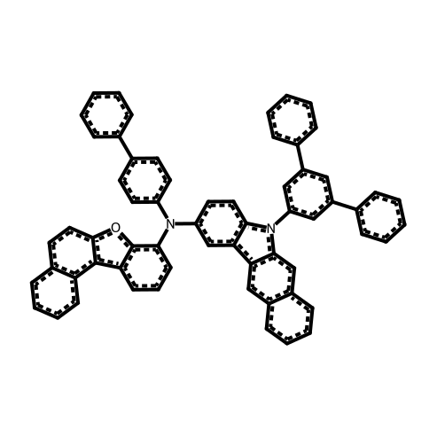 c1ccc(-c2ccc(N(c3ccc4c(c3)c3cc5ccccc5cc3n4-c3cc(-c4ccccc4)cc(-c4ccccc4)c3)c3cccc4c3oc3ccc5ccccc5c34)cc2)cc1